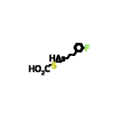 O=C(O)CSCC[AsH]CCCc1cccc(F)c1